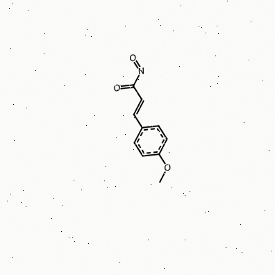 COc1ccc(/C=C/C(=O)N=O)cc1